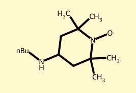 CCCCNC1CC(C)(C)N([O])C(C)(C)C1